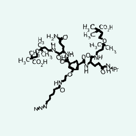 CC(C)NC(=O)CCC(NC(=O)C1=CC(OCCNC(=O)CCCCCN=[N+]=[N-])=CC(C(=O)NC(CCC(N)=O)C(O)NCCC(C)(C)OCC(C)(C)C(=O)O)C1)C(=O)NCCC(C)(C)OCCC(C)(C)C(=O)O